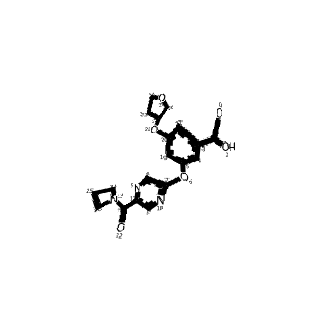 O=C(O)c1cc(Oc2cnc(C(=O)N3CCC3)cn2)cc(OC2CCOC2)c1